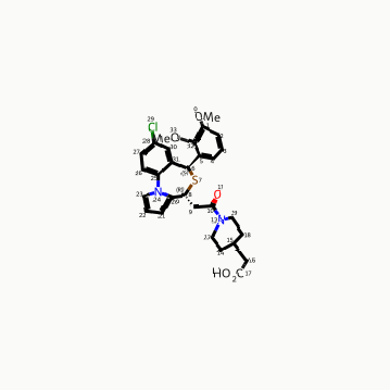 COc1cccc([C@H]2S[C@H](CC(=O)N3CCC(CC(=O)O)CC3)c3cccn3-c3ccc(Cl)cc32)c1OC